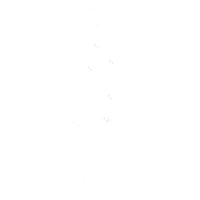 Cc1c(C(NC(=O)Nc2cnc(N3CCC(F)(F)C3)nc2)C(F)(F)F)sc2c(F)cc(F)cc12